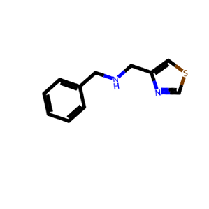 c1ccc(CNCc2cscn2)cc1